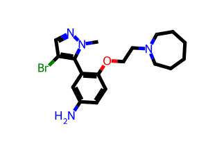 Cn1ncc(Br)c1-c1cc(N)ccc1OCCN1CCCCCC1